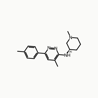 Cc1ccc(-c2cc(C)c(N[C@@H]3CCCN(C)C3)nn2)cc1